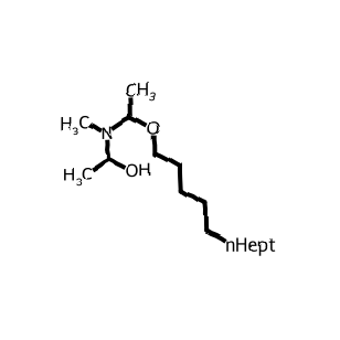 CCCCCCCCCCCCOC(C)N(C)C(C)O